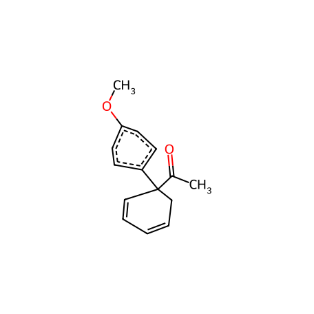 COc1ccc(C2(C(C)=O)C=CC=CC2)cc1